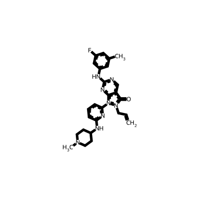 C=CCn1c(=O)c2cnc(Nc3cc(C)cc(F)c3)nc2n1-c1cccc(NC2CCN(C)CC2)n1